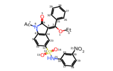 CCOC(=C1C(=O)N(C(C)=O)c2ccc(S(=O)(=O)Nc3cccc([N+](=O)[O-])c3)cc21)c1ccccc1